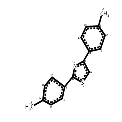 Cc1ccc(-c2csc(-c3ccc(C)cc3)n2)cc1